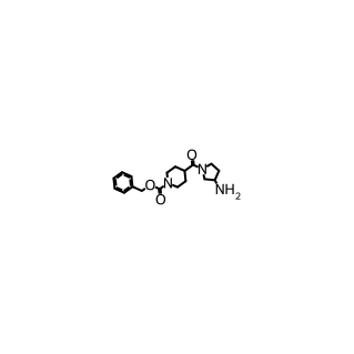 NC1CCN(C(=O)C2CCN(C(=O)OCc3ccccc3)CC2)C1